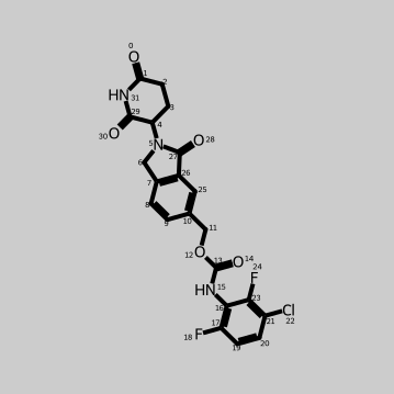 O=C1CCC(N2Cc3ccc(COC(=O)Nc4c(F)ccc(Cl)c4F)cc3C2=O)C(=O)N1